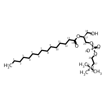 CCCCCCCCCCCCCCC(=O)O[C@@H](CO)COP(=O)([O-])OCC[N+](C)(C)C